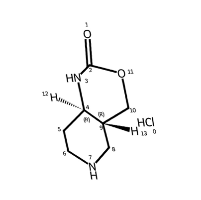 Cl.O=C1N[C@@H]2CCNC[C@H]2CO1